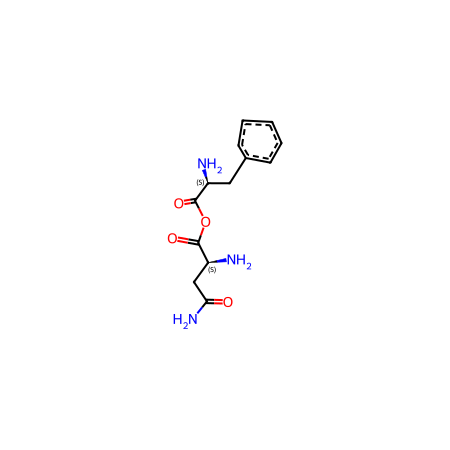 NC(=O)C[C@H](N)C(=O)OC(=O)[C@@H](N)Cc1ccccc1